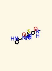 CCNC(=O)c1ccc(-n2nnc(C(=O)NCCc3c[nH]c4ccccc34)c2CSC)cc1